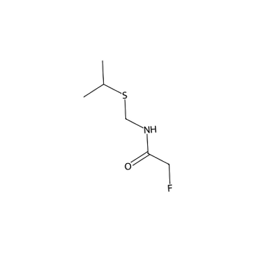 CC(C)SCNC(=O)CF